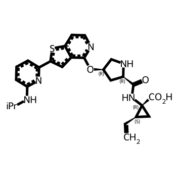 C=C[C@@H]1C[C@]1(NC(=O)[C@H]1C[C@@H](Oc2nccc3sc(-c4cccc(NC(C)C)n4)cc23)CN1)C(=O)O